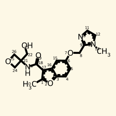 Cc1oc2ccc(OCc3nccn3C)cc2c1C(=O)NC1(CO)COC1